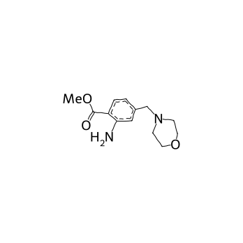 COC(=O)c1ccc(CN2CCOCC2)cc1N